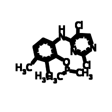 Cc1ccc(Nc2nc(Cl)ncc2Cl)c(OP(C)C)c1C